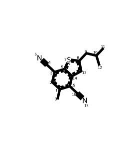 Cc1cc(C#N)c2sc(CC(C)C)cc2c1C#N